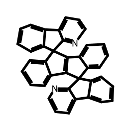 c1ccc2c(c1)C1=C(c3ccccc3C13c1ccccc1-c1cccnc13)C21c2ccccc2-c2cccnc21